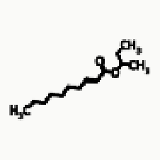 CCCCCCCC=CC(=O)OC(C)CC